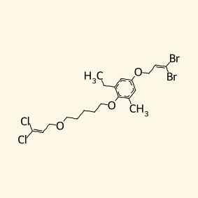 CCc1cc(OCC=C(Br)Br)cc(C)c1OCCCCCOCC=C(Cl)Cl